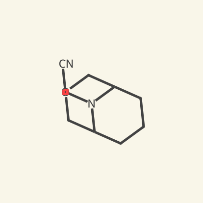 N#CCN1C2CCCC1COC2